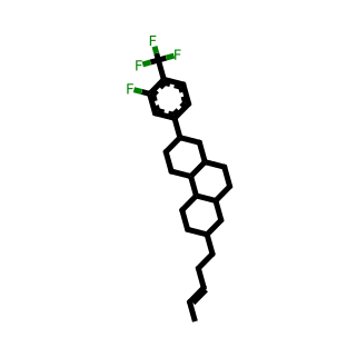 C/C=C/CCC1CCC2C(CCC3CC(c4ccc(C(F)(F)F)c(F)c4)CCC32)C1